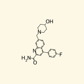 NC(=O)c1cc(-c2ccc(F)cc2)c2ccc(CN3CCC(O)CC3)cc2n1